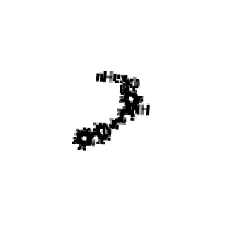 CCCCCCC(=O)Oc1ccc2[nH]cc(CCCCN3CCC(c4ccccc4)CC3)c2c1